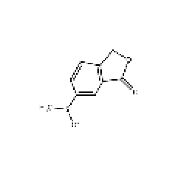 C[S+]([O-])c1ccc2c(c1)C(=O)OC2